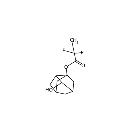 CC(F)(F)C(=O)OC12CC3CC(C1)C(O)C2C3